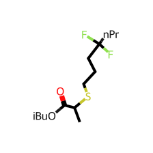 CCCC(F)(F)CCCSC(C)C(=O)OCC(C)C